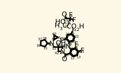 CC(=O)O.O=C(O)C(F)(F)F.O=C(c1ccc(F)c(F)c1Nc1ccc(I)cc1F)N1CC(O)(CN(C2CCCC2)C2CC2)C1